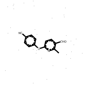 Cc1nc(Oc2ccc(C#N)cc2)ccc1C=O